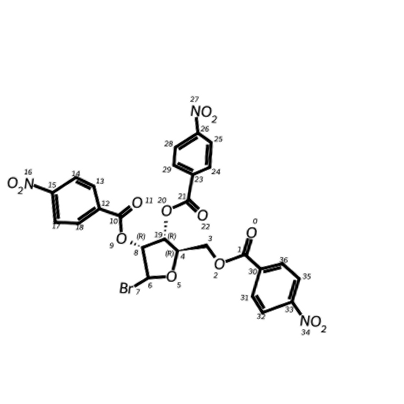 O=C(OC[C@H]1OC(Br)[C@H](OC(=O)c2ccc([N+](=O)[O-])cc2)[C@@H]1OC(=O)c1ccc([N+](=O)[O-])cc1)c1ccc([N+](=O)[O-])cc1